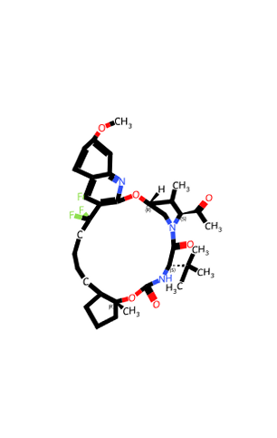 COc1ccc2c(F)c3c(nc2c1)O[C@H]1CN(C(=O)[C@H](C(C)(C)C)NC(=O)O[C@]2(C)CCCC2CCCCC3(F)F)[C@H](C(C)=O)C1C